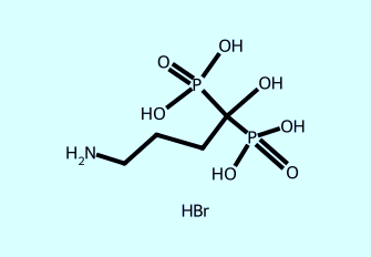 Br.NCCCC(O)(P(=O)(O)O)P(=O)(O)O